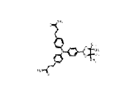 CC1(C)OB(c2ccc(N(c3ccc(CCC(N)=O)cc3)c3ccc(CCC(N)=O)cc3)cc2)OC1(C)C